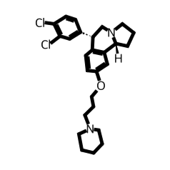 Clc1ccc([C@@H]2CN3CCC[C@@H]3c3cc(OCCCN4CCCCC4)ccc32)cc1Cl